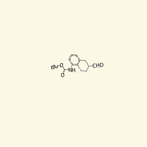 CC(C)(C)OC(=O)Nc1cccc2c1CCC(C=O)C2